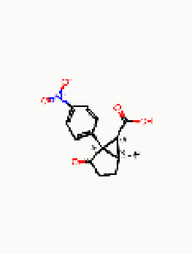 O=C(O)[C@H]1[C@H]2CCC(=O)[C@@]21c1ccc([N+](=O)[O-])cc1